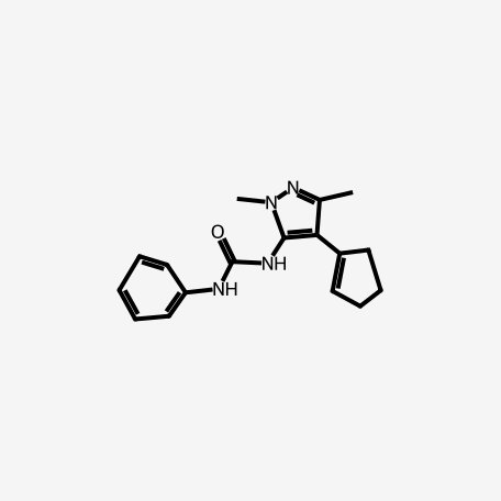 Cc1nn(C)c(NC(=O)Nc2ccccc2)c1C1=CCCC1